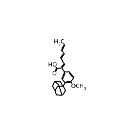 CC=CC=CC=C(C(=O)O)c1ccc(OC)c(C23CC4CC(CC(C4)C2)C3)c1